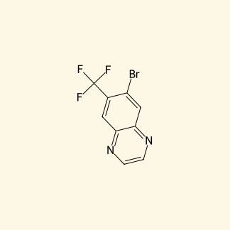 FC(F)(F)c1cc2nccnc2cc1Br